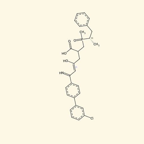 C[C@@H](Cc1ccccc1)P(C)(=O)CC(C/C(O)=C/C(=N)c1ccc(-c2cccc(Cl)c2)cc1)C(=O)O